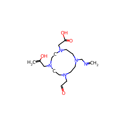 C=NCN1CCN(CC=O)CCN(CC(=C)O)CCN(CC(=O)O)CC1